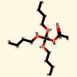 CCCCO[Si](OCCCC)(OCCCC)OC(C)=O